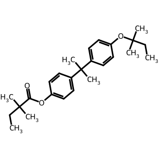 CCC(C)(C)Oc1ccc(C(C)(C)c2ccc(OC(=O)C(C)(C)CC)cc2)cc1